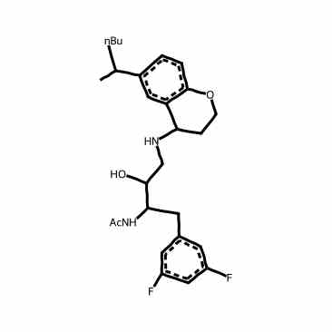 CCCCC(C)c1ccc2c(c1)C(NCC(O)C(Cc1cc(F)cc(F)c1)NC(C)=O)CCO2